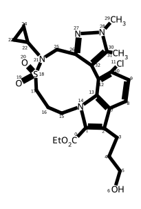 CCOC(=O)c1c(CCCO)c2ccc(Cl)c3c2n1CCCS(=O)(=O)N(C1CC1)Cc1nn(C)c(C)c1-3